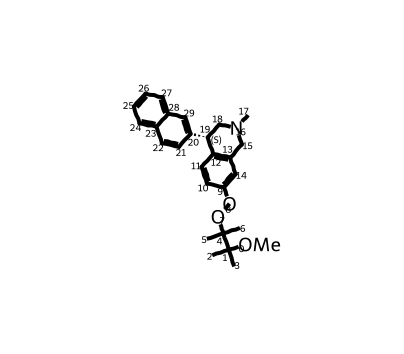 COC(C)(C)C(C)(C)OOc1ccc2c(c1)CN(C)C[C@H]2c1ccc2ccccc2c1